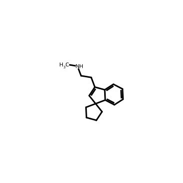 CNCCC1=CC2(CCCC2)c2ccccc21